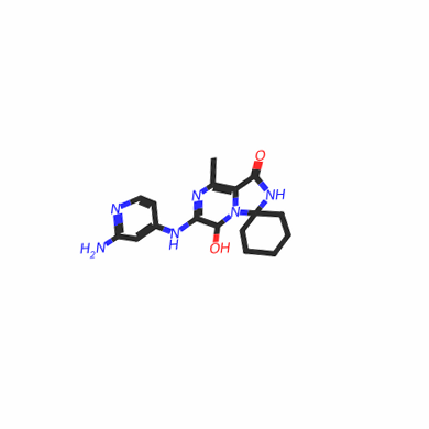 CC1=C2C(=O)NC3(CCCCC3)N2C(O)C(Nc2ccnc(N)c2)=N1